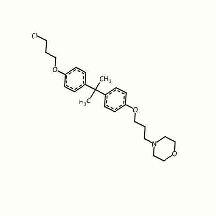 CC(C)(c1ccc(OCCCCl)cc1)c1ccc(OCCCN2CCOCC2)cc1